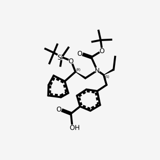 CC[C@@H](Cc1ccc(C(=O)O)cc1)N(C[C@H](O[Si](C)(C)C(C)(C)C)c1ccccc1)C(=O)OC(C)(C)C